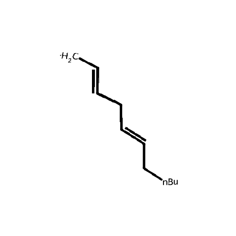 [CH2]C=CCC=CCCCCC